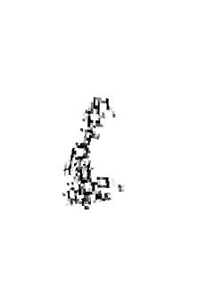 CC(=O)c1c(C)c2cnc(Nc3ccc(N4CC(N5CCN(C)CC5)C4)cn3)nc2n(C2CCCC2)c1=O